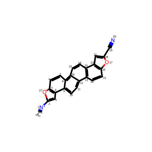 [C-]#[N+]c1cc2c(ccc3c2ccc2c4ccc5oc(C#N)cc5c4ccc32)o1